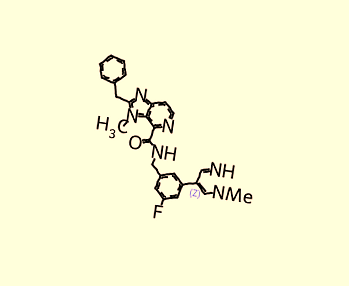 CN/C=C(\C=N)c1cc(F)cc(CNC(=O)c2nccc3nc(Cc4ccccc4)n(C)c23)c1